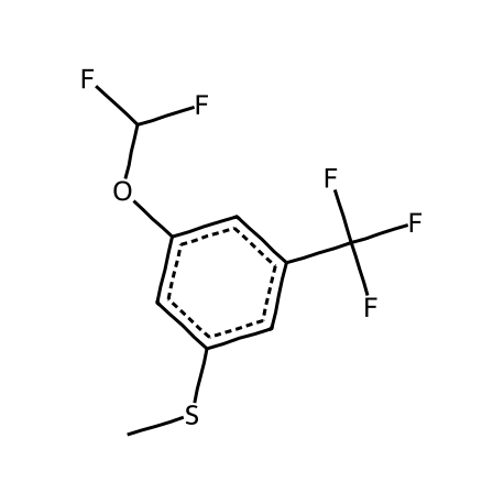 CSc1cc(OC(F)F)cc(C(F)(F)F)c1